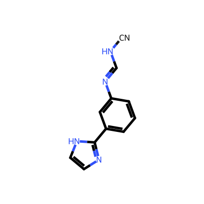 N#CNC=Nc1cccc(-c2ncc[nH]2)c1